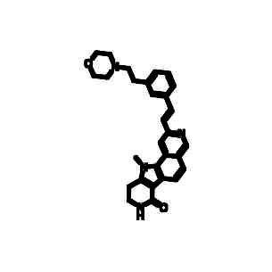 Cn1c2c(c3ccc4cnc(C=Cc5cccc(CCN6CCOCC6)c5)cc4c31)C(=O)NCC2